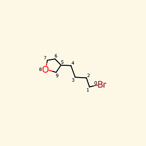 BrCCCCC1CCOC1